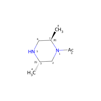 CC(=O)N1C[C@H](C)NC[C@H]1C